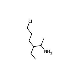 CCC(CCCCl)C(C)N